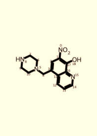 O=[N+]([O-])c1cc(CN2CCNCC2)c2cccnc2c1O